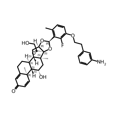 Cc1ccc(OCCc2cccc(N)c2)c(F)c1[C@@H]1O[C@@H]2C[C@H]3[C@@H]4CCC5=CC(=O)C=C[C@]5(C)[C@H]4[C@@H](O)C[C@]3(C)[C@]2(C(=O)CO)O1